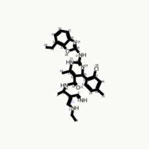 CCN/C=C(\C=N)C(C)NC(=O)C1=C(C)NC(Nc2nc3cccc(CC)c3o2)=NC1c1ccc(C)cc1Cl